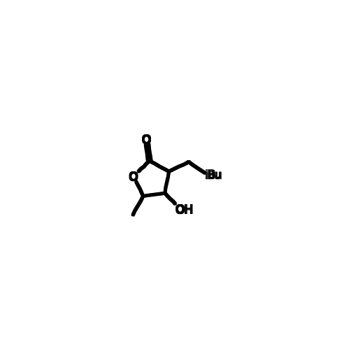 CCC(C)CC1C(=O)OC(C)C1O